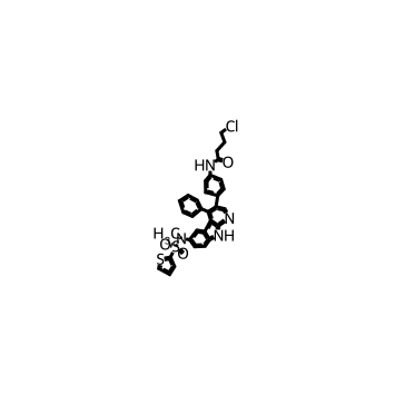 CN(c1ccc2[nH]c3ncc(-c4ccc(NC(=O)CCCCl)cc4)c(-c4ccccc4)c3c2c1)S(=O)(=O)c1cccs1